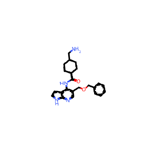 NCC1CCC(C(=O)Nc2c(COCc3ccccc3)cnc3[nH]ccc23)CC1